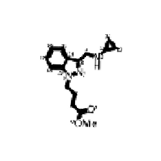 COC(=O)CCCn1nc(CNC2CC2)c2ccccc21